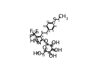 CCSc1ccc(CCc2c(O[C@@H]3O[C@H](CO)[C@@H](O)[C@H](O)[C@H]3O)n[nH]c2C(F)(F)F)cc1